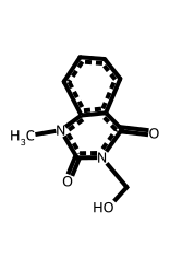 Cn1c(=O)n(CO)c(=O)c2ccccc21